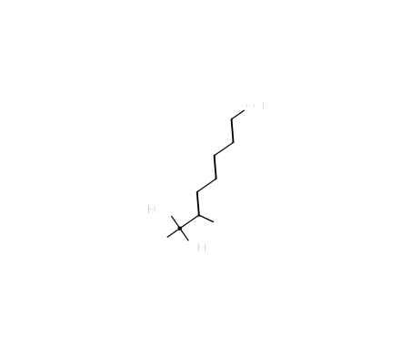 CC(C)(O)C(O)CCCCCO